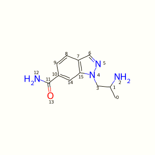 CC(N)Cn1ncc2ccc(C(N)=O)cc21